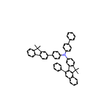 CC1(C)c2ccccc2-c2ccc(-c3ccc(N(c4ccc(-c5ccccc5)cc4)c4ccc5c(c4)-c4c(-c6ccccc6)cc6ccccc6c4C5(C)C)cc3)cc21